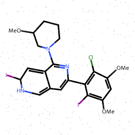 COc1cc(OC)c(I)c(-c2cc3c(c(N4CCCC(OC)C4)n2)=CC(I)NC=3)c1Cl